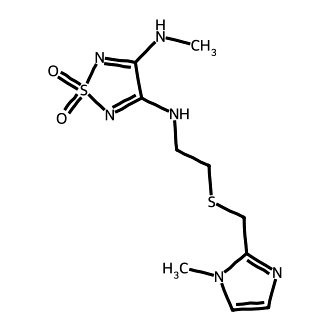 CNC1=NS(=O)(=O)N=C1NCCSCc1nccn1C